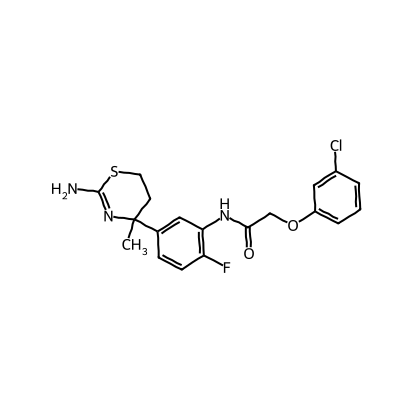 CC1(c2ccc(F)c(NC(=O)COc3cccc(Cl)c3)c2)CCSC(N)=N1